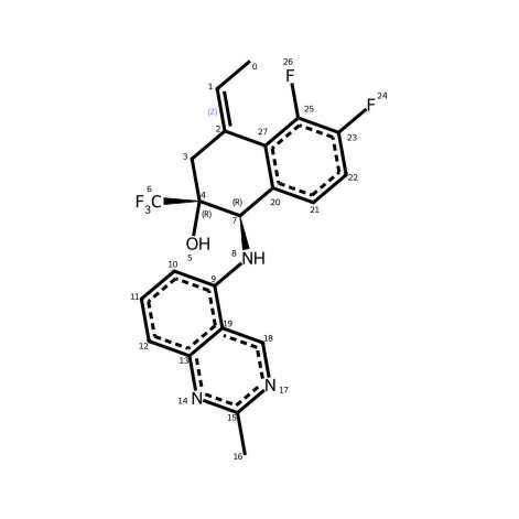 C/C=C1/C[C@](O)(C(F)(F)F)[C@H](Nc2cccc3nc(C)ncc23)c2ccc(F)c(F)c21